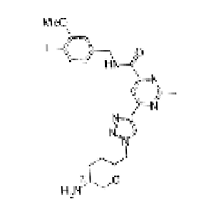 COc1cc(CNC(=O)c2cc(-c3cn(CC4CC[C@@H](N)CO4)nn3)nc(C)n2)ccc1F